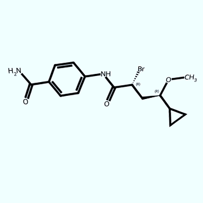 CO[C@H](C[C@@H](Br)C(=O)Nc1ccc(C(N)=O)cc1)C1CC1